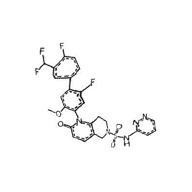 COc1cc(-c2ccc(F)c(C(F)F)c2)c(F)cc1-n1c2c(ccc1=O)CN(S(=O)(=O)Nc1cccnn1)CC2